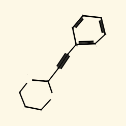 C(#CC1SCCCS1)c1ccccc1